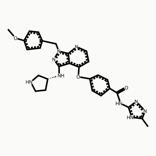 COc1ccc(Cn2nc(N[C@@H]3CCNC3)c3c(Oc4ccc(C(=O)Nc5nnc(C)[nH]5)cc4)ccnc32)cc1